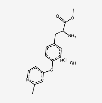 COC(=O)C(N)Cc1ccc(Oc2ccnc(C)c2)cc1.Cl.Cl